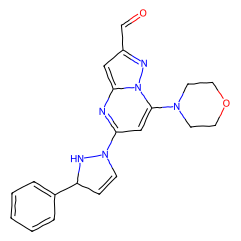 O=Cc1cc2nc(N3C=CC(c4ccccc4)N3)cc(N3CCOCC3)n2n1